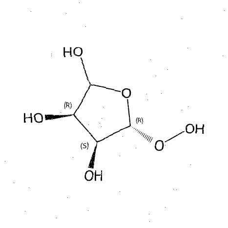 OO[C@H]1OC(O)[C@H](O)[C@@H]1O